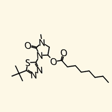 CCCCCCCC(=O)OC1CN(C)C(=O)N1c1nnc(C(C)(C)C)s1